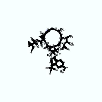 CCC(C)N(C(=O)O)[C@@H]1C(=O)N2[C@@H](C[C@@](C)(Oc3ncc(C(F)(F)F)c4cc(OC)ccc34)C2(F)F)C(=O)N[C@]2(C(=O)NS(=O)(=O)C3(CF)CC3)C[C@H]2/C=C\CC[C@H](C)C[C@H]1C